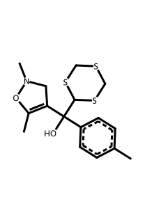 CC1=C(C(O)(c2ccc(C)cc2)C2SCSCS2)CN(C)O1